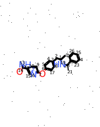 CC(Cc1ccc(Oc2ccc(C(N)=O)cn2)cc1)N[C@H](C)c1ccccc1